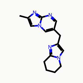 Cc1cn2cc(Cc3cn4c(n3)CCCC4)cnc2n1